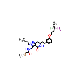 CCCCn1nc2c(c1CNC(=O)CSC)C(=O)NC(CCc1cccc(OCCCC(C)(F)P)c1)C2